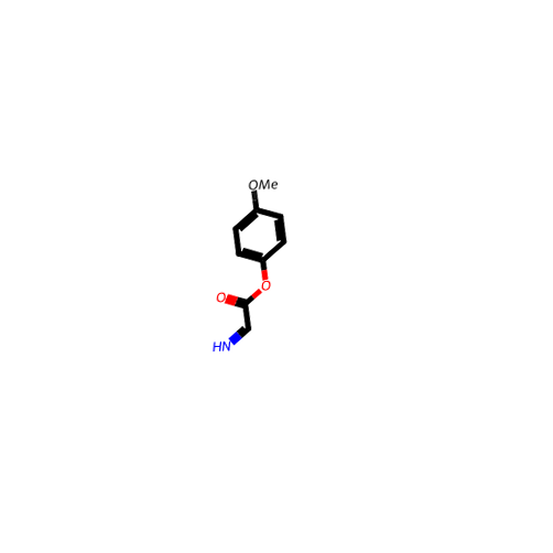 COc1ccc(OC(=O)C=N)cc1